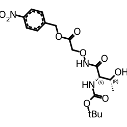 C[C@@H](O)[C@H](NC(=O)OC(C)(C)C)C(=O)NOCC(=O)OCc1ccc([N+](=O)[O-])cc1